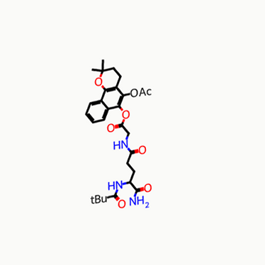 CC(=O)Oc1c2c(c3ccccc3c1OC(=O)CNC(=O)CCC(NC(=O)C(C)(C)C)C(N)=O)OC(C)(C)CC2